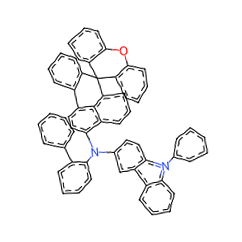 c1ccc(-c2ccccc2N(c2ccc3c(c2)c2ccccc2n3-c2ccccc2)c2ccc3c4c(cccc24)C2(c4ccccc4Oc4ccccc42)c2ccccc2-3)cc1